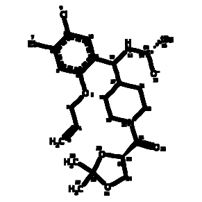 C=CCOc1cc(CC)c(Cl)cc1C(N[S@@+]([O-])C(C)(C)C)C1CCN(C(=O)[C@H]2COC(C)(C)O2)CC1